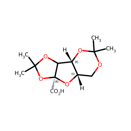 CC1(C)OC[C@@H]2O[C@@]3(C(=O)O)OC(C)(C)OC3[C@@H]2O1